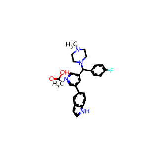 CC(=O)O.CN1CCN(C(c2ccc(F)cc2)c2cncc(-c3ccc4[nH]ccc4c3)c2)CC1